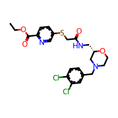 CCOC(=O)c1ccc(SCC(=O)NC[C@H]2CN(Cc3ccc(Cl)c(Cl)c3)CCO2)cn1